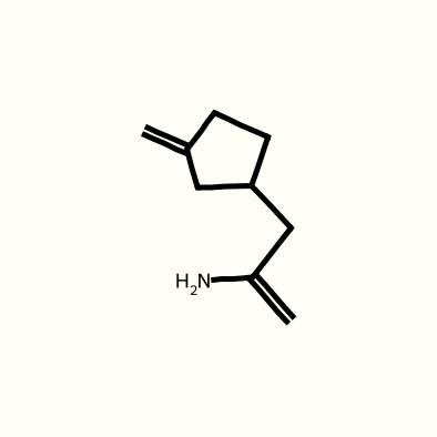 C=C(N)CC1CCC(=C)C1